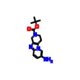 CC(C)(C)OC(=O)N1CCc2c(nc3ccc(N)cn23)C1